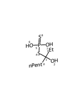 CCCCCC(O)(CC)SP(O)(O)=S